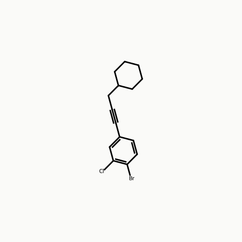 Clc1cc(C#CC[C]2CCCCC2)ccc1Br